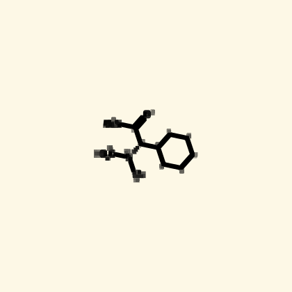 CNC(=O)[C@H](C1CCCCC1)N(C(=O)O)C(C)(C)C